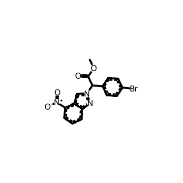 COC(=O)C(c1ccc(Br)cc1)n1cc2c([N+](=O)[O-])cccc2n1